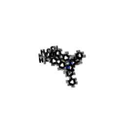 CC(C)(C)c1ccc2c(c1)C1(c3cc(N(c4ccccc4)c4ccccc4)ccc3-2)c2cc(N(c3ccc(-c4ccccc4)cc3)c3ccc(-c4ccccc4)cc3)ccc2-c2ccc(C(C)(C)C)cc21